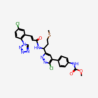 COC(=O)Nc1ccc(-c2cc(C(CCSC)NC(=O)C=Cc3cc(Cl)ccc3-n3cnnn3)nnc2Cl)cc1